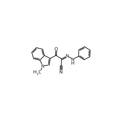 Cn1cc(C(=O)/C(C#N)=N/Nc2ccccc2)c2ccccc21